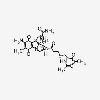 COC(=O)C(CSCCC(=O)N1[C@H]2[C@@H]1CN1C3=C(C(=O)C(N)=C(C)C3=O)[C@@H](COC(N)=O)[C@@]21OC)NC(C)=O